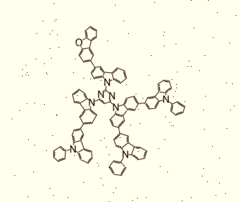 c1ccc(-n2c3ccccc3c3cc(-c4ccc5c(c4)c4ccccc4n5-c4cc(-n5c6ccc(-c7ccc8c(c7)c7ccccc7n8-c7ccccc7)cc6c6cc(-c7ccc8c(c7)c7ccccc7n8-c7ccccc7)ccc65)nc(-n5c6ccccc6c6cc(-c7ccc8oc9ccccc9c8c7)ccc65)n4)ccc32)cc1